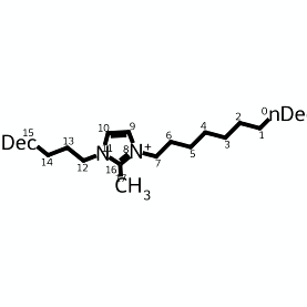 CCCCCCCCCCCCCCCCC[n+]1ccn(CCCCCCCCCCCCC)c1C